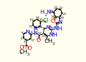 COC(=O)c1ccnc(NC(=O)C2=C(C)NC(Nc3nc4cccc(N)c4o3)=N[C@H]2c2ccccc2Cl)c1